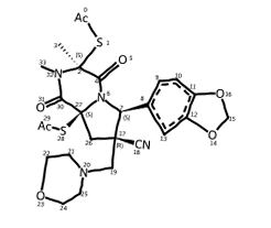 CC(=O)S[C@@]1(C)C(=O)N2[C@@H](c3ccc4c(c3)OCO4)[C@](C#N)(CN3CCOCC3)C[C@]2(SC(C)=O)C(=O)N1C